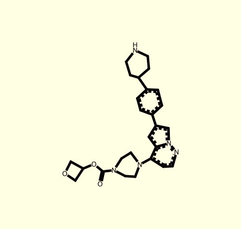 O=C(OC1COC1)N1CCN(c2ccnn3cc(-c4ccc(C5CCNCC5)cc4)cc23)CC1